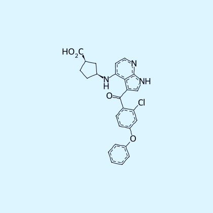 O=C(c1ccc(Oc2ccccc2)cc1Cl)c1c[nH]c2nccc(N[C@H]3CC[C@@H](C(=O)O)C3)c12